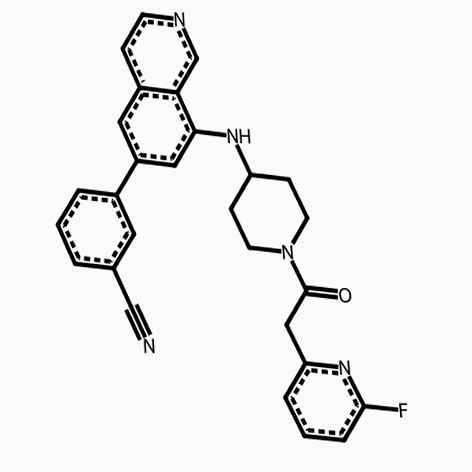 N#Cc1cccc(-c2cc(NC3CCN(C(=O)Cc4cccc(F)n4)CC3)c3cnccc3c2)c1